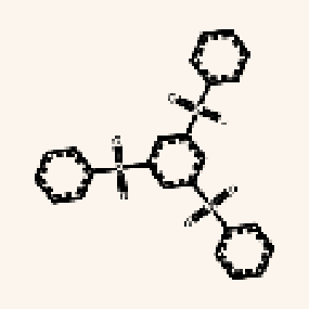 O=S(=O)(c1ccccc1)c1cc(S(=O)(=O)c2ccccc2)cc(S(=O)(=O)c2ccccc2)c1